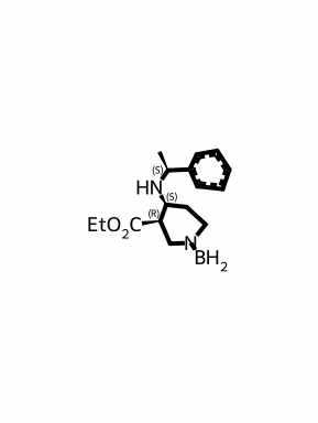 BN1CC[C@H](N[C@@H](C)c2ccccc2)[C@H](C(=O)OCC)C1